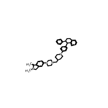 C=C1c2ccc(N3CCN(CC4CCN(c5ccc(C6c7ccccc7CCC6c6ccccc6)cc5)CC4)CC3)cc2CN1C